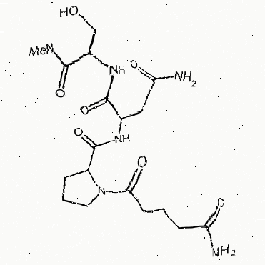 CNC(=O)C(CO)NC(=O)C(CC(N)=O)NC(=O)C1CCCN1C(=O)CCCC(N)=O